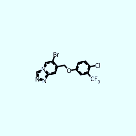 FC(F)(F)c1cc(OCc2cc3nncn3cc2Br)ccc1Cl